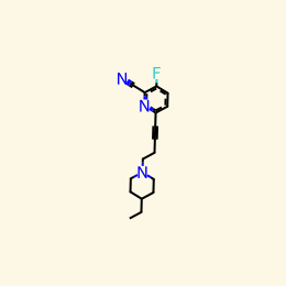 CCC1CCN(CCC#Cc2ccc(F)c(C#N)n2)CC1